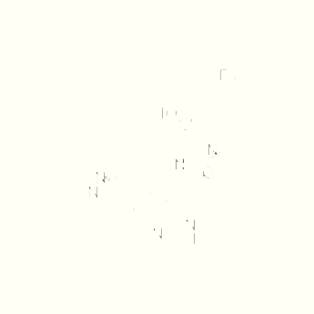 Cn1cc(-c2cnc3[nH]cc(-c4nc(C(C)(O)c5cccc(F)c5)no4)c3c2)cn1